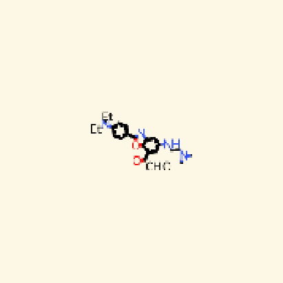 CCN(CC)c1ccc(-c2nc3cc(NCCN(C)C)cc(C(=O)C=O)c3o2)cc1